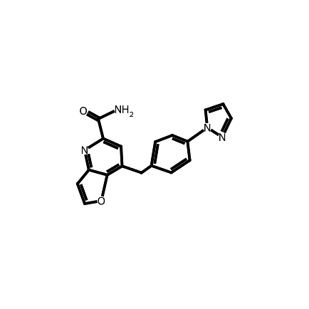 NC(=O)c1cc(Cc2ccc(-n3cccn3)cc2)c2occc2n1